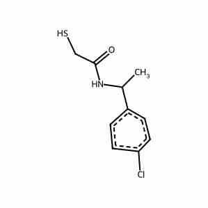 CC(NC(=O)CS)c1ccc(Cl)cc1